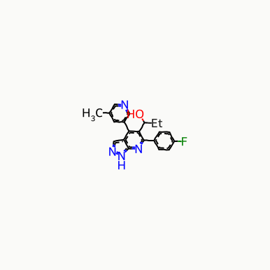 CCC(O)c1c(-c2ccc(F)cc2)nc2[nH]ncc2c1-c1cncc(C)c1